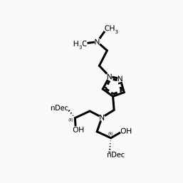 CCCCCCCCCC[C@@H](O)CN(Cc1cnn(CCN(C)C)c1)C[C@H](O)CCCCCCCCCC